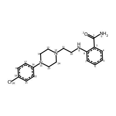 NC(=O)c1ccccc1NCCN1CCN(c2ccc(Cl)cc2)CC1